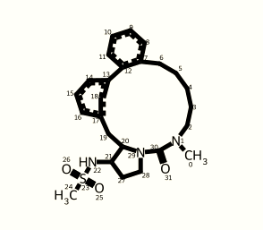 CN1CCCCCc2ccccc2-c2cccc(c2)CC2C(NS(C)(=O)=O)CCN2C1=O